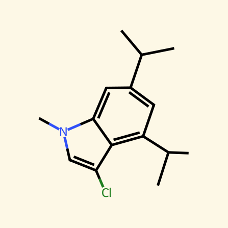 CC(C)c1cc(C(C)C)c2c(Cl)cn(C)c2c1